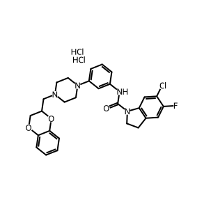 Cl.Cl.O=C(Nc1cccc(N2CCN(CC3COc4ccccc4O3)CC2)c1)N1CCc2cc(F)c(Cl)cc21